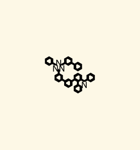 c1ccc(-c2cccc(-c3nc(-c4ccccc4)nc(-c4cccc(-c5cccc(-c6cccc7c(-c8ccccc8)nc8ccccc8c67)c5)c4)n3)c2)cc1